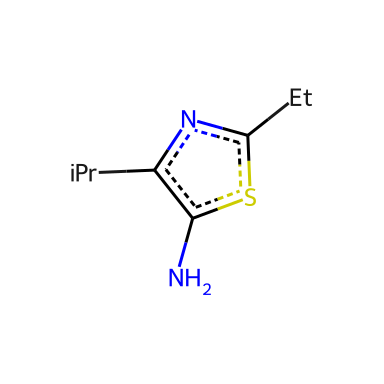 CCc1nc(C(C)C)c(N)s1